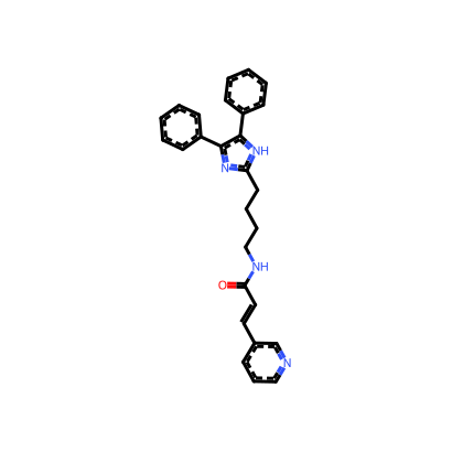 O=C(C=Cc1cccnc1)NCCCCc1nc(-c2ccccc2)c(-c2ccccc2)[nH]1